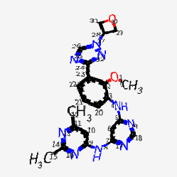 COc1c(Nc2cc(Nc3cc(C)nc(C)n3)ncn2)cccc1-c1ncn(C2COC2)n1